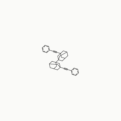 C(#CC12CC3CC(C1)CC(C14CC5CC(CC(C#Cc6ccccc6)(C5)C1)C4)(C3)C2)c1ccccc1